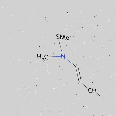 CC=CN(C)SC